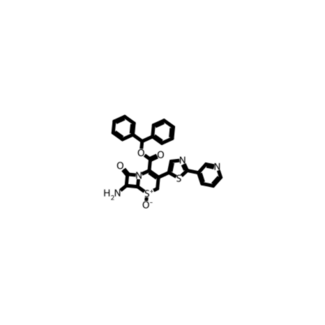 NC1C(=O)N2C(C(=O)OC(c3ccccc3)c3ccccc3)=C(c3cnc(-c4cccnc4)s3)C[S+]([O-])C12